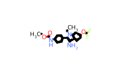 CCOC(=O)Nc1ccc(-c2c(N)c3ccc(OC(F)F)cc3n2CC)cc1